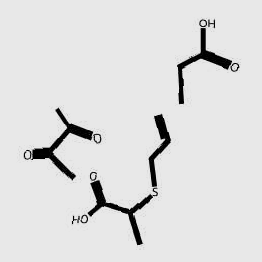 C=CCSC(C)C(=O)O.CC(=O)C(C)=O.CCC(=O)O